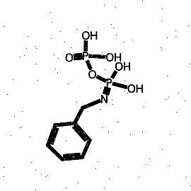 O=P(O)(O)OP(O)(O)=NCc1ccccc1